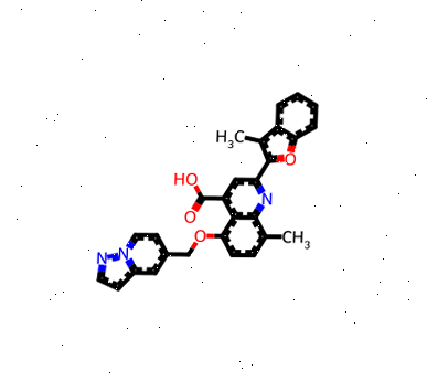 Cc1c(-c2cc(C(=O)O)c3c(OCc4ccn5nccc5c4)ccc(C)c3n2)oc2ccccc12